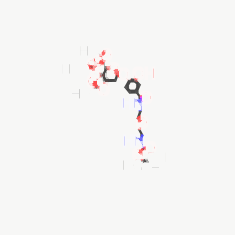 COC(=O)[C@H]1OC(Oc2ccc(C(=O)NCCOCCNC(=O)OC(C)(C)C)cc2O)C[C@@H](OC(C)=O)[C@@H]1OC(C)=O